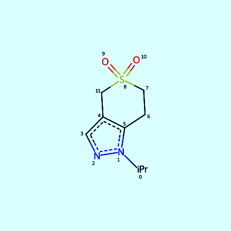 CC(C)n1ncc2c1CCS(=O)(=O)C2